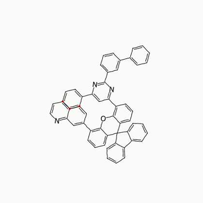 c1ccc(-c2cccc(-c3nc(-c4ccccc4)cc(-c4cccc5c4Oc4c(-c6ccc7cccnc7c6)cccc4C54c5ccccc5-c5ccccc54)n3)c2)cc1